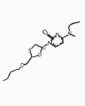 CCCCOCC1O[C@H](n2ccc(N(C)CC)nc2=O)CS1